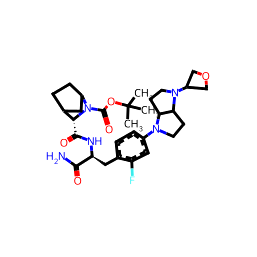 CC(C)(C)OC(=O)N1C2CCC(C2)[C@H]1C(=O)N[C@@H](Cc1ccc(N2CCC3C2CCN3C2COC2)cc1F)C(N)=O